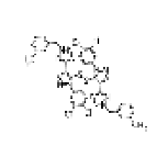 Cc1cccc(Cn2nnc(-c3cnn(-c4ccc(Cl)c(Cl)c4)c3SSc3c(-c4nnn(Cc5cccc(C)c5)n4)cnn3-c3ccc(Cl)c(Cl)c3)n2)c1